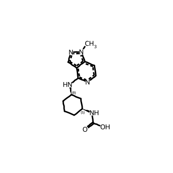 Cn1ncc2c(N[C@@H]3CCC[C@H](NC(=O)O)C3)nccc21